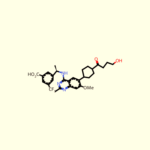 COc1cc2nc(C)nc(N[C@H](C)c3cc(C(=O)O)cc(C(F)(F)F)c3)c2cc1C1CCC(C(=O)CCCO)CC1